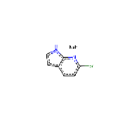 Brc1ccc2cc[nH]c2n1.[NaH]